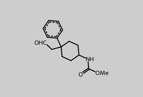 COC(=O)NC1CCC(CC=O)(c2ccccc2)CC1